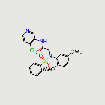 COc1ccc(OC)c(N(CC(=O)Nc2cnccc2Cl)S(=O)(=O)c2ccccc2)c1